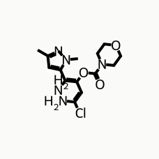 Cc1cc(/C(N)=C(/C=C(\N)Cl)OC(=O)N2CCOCC2)n(C)n1